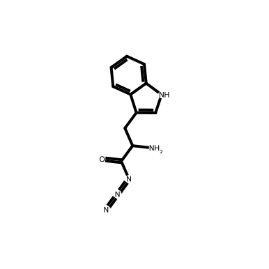 [N-]=[N+]=NC(=O)C(N)Cc1c[nH]c2ccccc12